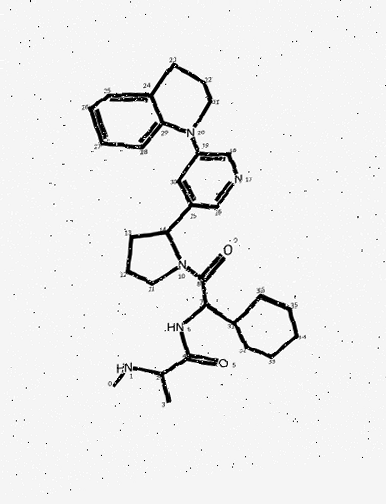 CNC(C)C(=O)NC(C(=O)N1CCCC1c1cncc(N2CCCc3ccccc32)c1)C1CCCCC1